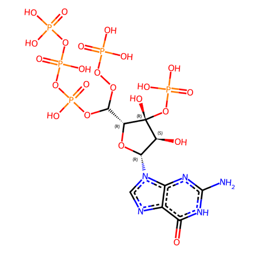 Nc1nc2c(ncn2[C@@H]2O[C@H](C(OOP(=O)(O)O)OP(=O)(O)OP(=O)(O)OP(=O)(O)O)[C@](O)(OP(=O)(O)O)[C@H]2O)c(=O)[nH]1